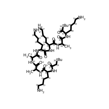 CC(NC(=O)C(C)NC(=O)C(CCCCN)NC(=O)CC(C)(C)C)C(=O)NC(CCCCN)C(=O)NC(CCCCN)C(=O)NC(C)C(=O)NC(CCCCN)C(=O)C(C)(C)C